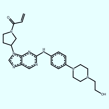 C=CC(=O)N1CCC(n2cnc3cnc(Nc4ccc(N5CCN(CCO)CC5)cc4)nc32)C1